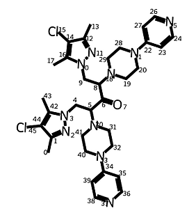 Cc1nn(CC(C(=O)C(Cn2nc(C)c(Cl)c2C)N2CCN(c3ccncc3)CC2)N2CCN(c3ccncc3)CC2)c(C)c1Cl